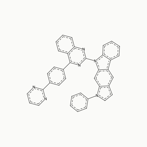 c1ccc(-n2ccc3cc4c5ccccc5n(-c5nc(-c6ccc(-c7ncccn7)cc6)c6ccccc6n5)c4cc32)cc1